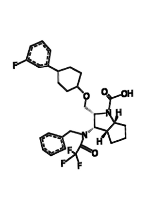 O=C(O)N1[C@@H]2CCC[C@@H]2[C@H](N(Cc2ccccc2)C(=O)C(F)(F)F)[C@@H]1COC1CCC(c2cccc(F)c2)CC1